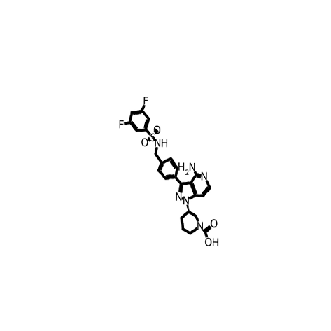 Nc1nccc2c1c(-c1ccc(CNS(=O)(=O)c3cc(F)cc(F)c3)cc1)nn2[C@@H]1CCCN(C(=O)O)C1